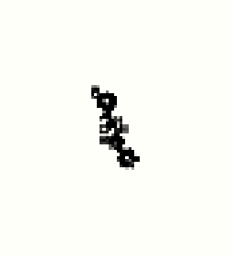 COc1cccc([C@@H](C)NC(=O)Nc2cc(-c3ccnc(C)c3)n[nH]2)c1